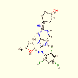 [2H]C1CC([2H])(n2c(Nc3c(F)cc(F)cc3F)nc3cnc(NC4CCC(O)CC4)nc32)CO1